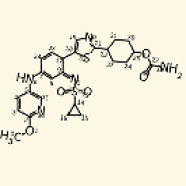 COc1ccc(NC2=CC(=NS(=O)(=O)C3CC3)C(c3cnc(C4CCC(OC(N)=O)CC4)s3)C=C2)cn1